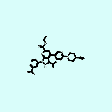 C=C/C(=C\C(=C)C(F)F)N1NC(C(C)C)c2c(-c3ccc(N4CCC(C#N)CC4)nc3)cc(C(=O)OCC)nc21